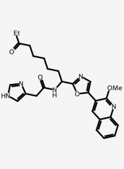 CCC(=O)CCCCCC(NC(=O)Cc1c[nH]cn1)c1ncc(-c2cc3ccccc3nc2OC)o1